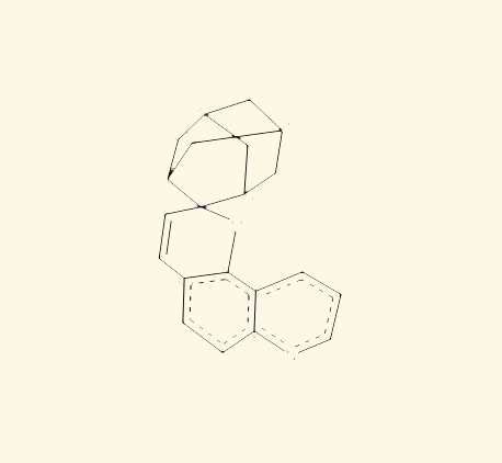 C1=CC2(Oc3c1ccc1ncccc31)C1CC3CC(C1)CC2C3